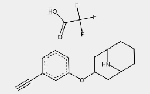 C#Cc1cccc(OC2CC3CCCC(C2)N3)c1.O=C(O)C(F)(F)F